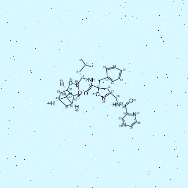 CC(C)C[C@H](NC(=O)C1(Cc2ccccc2)CC(CNC(=O)c2cnccn2)=NO1)B1O[C@@H]2C[C@@H]3C[C@@H](C3(C)C)[C@]2(C)O1